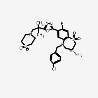 CC(C)(CN1CCS(=O)(=O)CC1)c1nnc(-c2cc3c(cc2F)S(=O)(=O)C[C@H](N)CN3Cc2ccc(Cl)cc2)o1